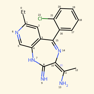 CCc1cc2c(cn1)NC(=N)/C(=C(/C)N)N=C2c1ccccc1Cl